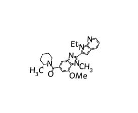 CCn1c(-c2nc3cc(C(=O)N4CCCC[C@H]4C)cc(OC)c3n2C)cc2cccnc21